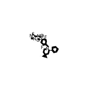 O=S(=O)(Nc1ncns1)c1cc(F)c(CN2CCC3(CC3)C[C@@H]2c2ccccc2)cc1F